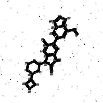 COc1cc(-c2cc3[nH]c(=O)n([C@@H]4CCCN(C5COC5)C4)c3cc2C)cn2ncnc12